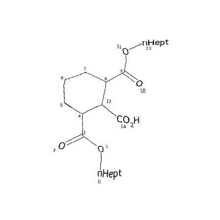 CCCCCCCOC(=O)C1CCCC(C(=O)OCCCCCCC)C1C(=O)O